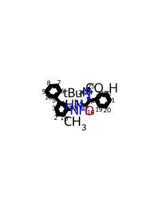 Cc1ccc(-c2ccccc2)cc1NNC(=O)C(c1ccccc1)N(C(=O)O)C(C)(C)C